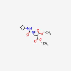 CCOC(=O)C(=CNC(=O)NC1CCC1)C(=O)OCC